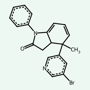 CC1(c2cncc(Br)c2)C=CC=C2C1CC(=O)N2c1ccccc1